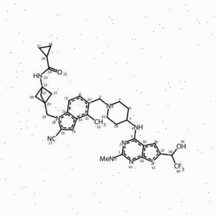 CNc1nc(NC2CCN(Cc3ccc4c(cc(C#N)n4CC45CC(NC(=O)C6CC6)(C4)C5)c3C)CC2)c2cc(C(O)C(F)(F)F)sc2n1